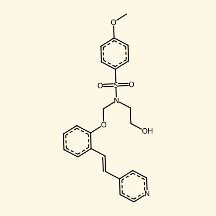 COc1ccc(S(=O)(=O)N(CCO)COc2ccccc2C=Cc2ccncc2)cc1